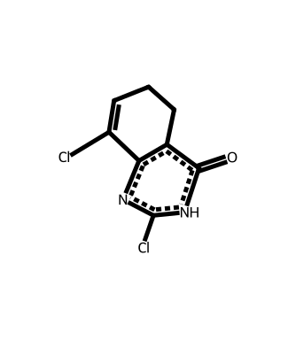 O=c1[nH]c(Cl)nc2c1CCC=C2Cl